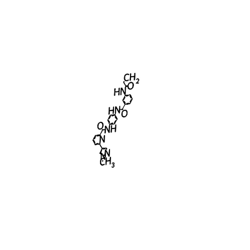 C=CC(=O)Nc1cccc(C(=O)Nc2ccc(NC(=O)c3cccc(-c4cnn(C)c4)n3)cc2)c1